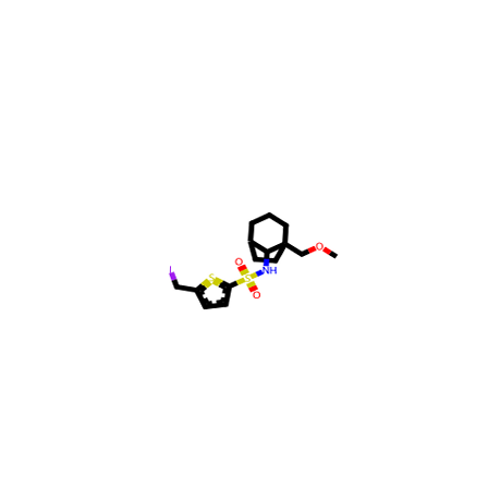 COCC12CCCC(CC1)C2NS(=O)(=O)c1ccc(CI)s1